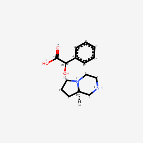 C1C[C@@H]2CNCCN2C1.O=C(O)[C@H](O)c1ccccc1